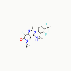 Cc1nc(N[C@H](C)c2cccc(C(C)(F)F)c2F)c2cn(C3(C)CC3)c(=O)c(F)c2n1